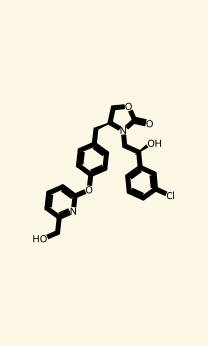 O=C1OC[C@H](Cc2ccc(Oc3cccc(CO)n3)cc2)N1C[C@@H](O)c1cccc(Cl)c1